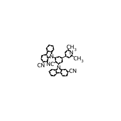 Cc1cc(-c2cc(-n3c4ccccc4c4ccc(C#N)cc43)c(C#N)c(-n3c4ccccc4c4ccc(C#N)cc43)c2)cc(C)n1